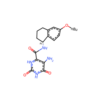 CCCCOc1ccc2c(c1)CCC[C@H]2NC(=O)c1[nH]c(=O)[nH]c(=O)c1N